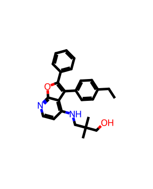 CCc1ccc(-c2c(-c3ccccc3)oc3nccc(NCC(C)(C)CO)c23)cc1